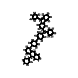 c1ccc(-c2c3ccccc3cc3c(-c4ccc(-c5ccc(N(c6ccccc6)c6ccc7c(c6)c6ccccc6n7-c6ccccc6)cc5)cc4)cccc23)cc1